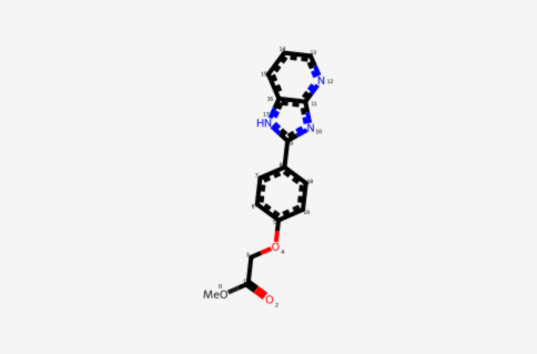 COC(=O)COc1ccc(-c2nc3ncccc3[nH]2)cc1